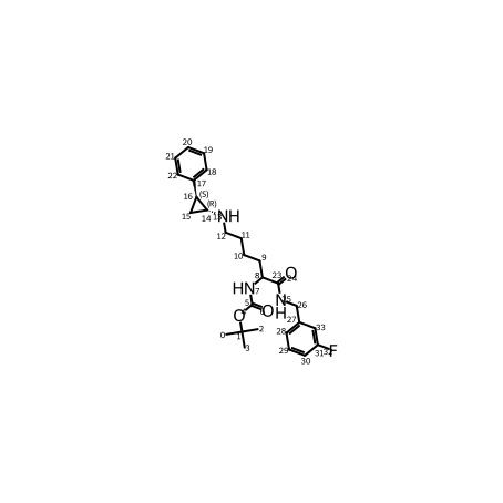 CC(C)(C)OC(=O)NC(CCCCN[C@@H]1C[C@H]1c1ccccc1)C(=O)NCc1cccc(F)c1